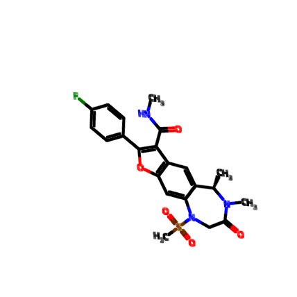 CNC(=O)c1c(-c2ccc(F)cc2)oc2cc3c(cc12)[C@@H](C)N(C)C(=O)CN3S(C)(=O)=O